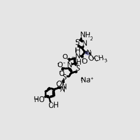 CO/N=C(\C(=O)N[C@@H]1C(=O)N2C(C(=O)[O-])=C(CSc3nnc(-c4ccc(O)c(O)c4)o3)CS[C@H]12)c1csc(N)n1.[Na+]